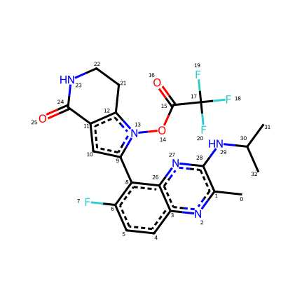 Cc1nc2ccc(F)c(-c3cc4c(n3OC(=O)C(F)(F)F)CCNC4=O)c2nc1NC(C)C